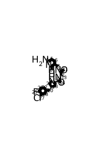 Cc1nc(N)ccc1CNC(=O)[C@H](C)NC(=O)[C@H]1C[C@H](Cc2ccc(F)c(Cl)c2)CN1